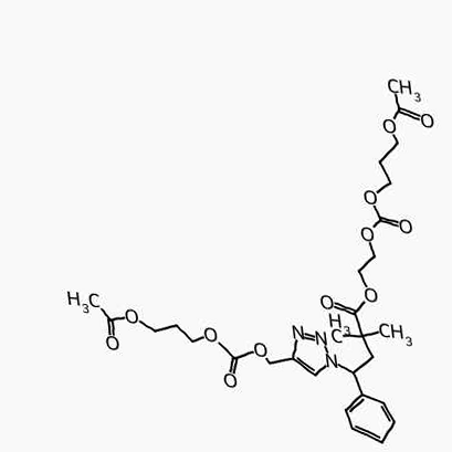 CC(=O)OCCCOC(=O)OCCOC(=O)C(C)(C)CC(c1ccccc1)n1cc(COC(=O)OCCCOC(C)=O)nn1